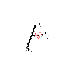 CCCCCCCCC(CCCCCC)COC(=O)OC(C)C